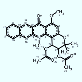 COc1cc2c(c3c1c(=O)c1nc4ccccc4nc1n3C)C(OC(C)=O)C(OC(C)=O)C(C)(C)O2